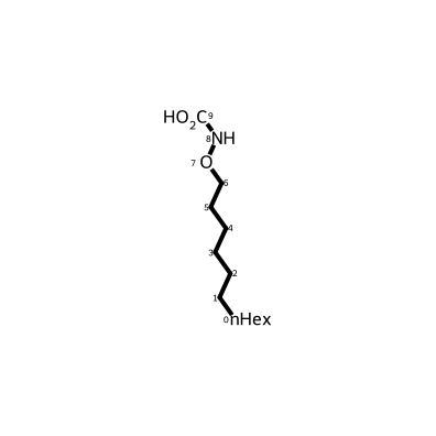 CCCCCCCCCCCCONC(=O)O